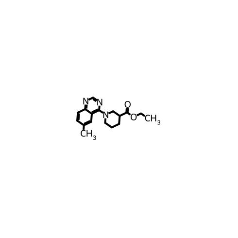 CCOC(=O)C1CCCN(c2ncnc3ccc(C)cc23)C1